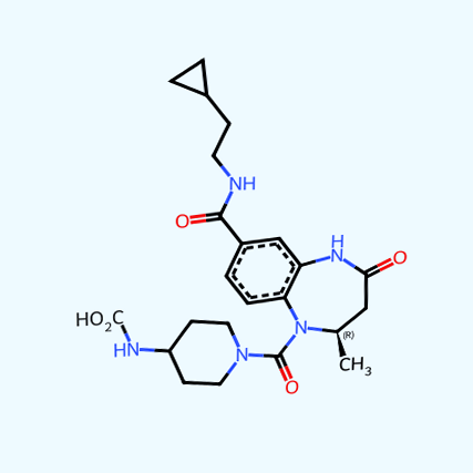 C[C@@H]1CC(=O)Nc2cc(C(=O)NCCC3CC3)ccc2N1C(=O)N1CCC(NC(=O)O)CC1